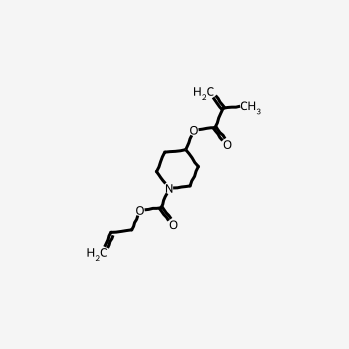 C=CCOC(=O)N1CCC(OC(=O)C(=C)C)CC1